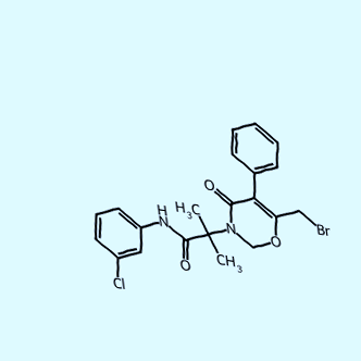 CC(C)(C(=O)Nc1cccc(Cl)c1)N1COC(CBr)=C(c2ccccc2)C1=O